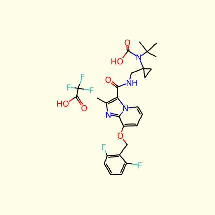 Cc1nc2c(OCc3c(F)cccc3F)cccn2c1C(=O)NCC1(N(C(=O)O)C(C)(C)C)CC1.O=C(O)C(F)(F)F